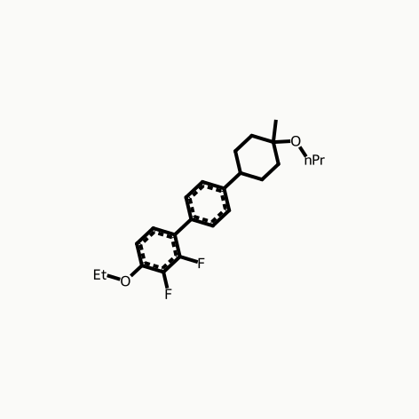 CCCOC1(C)CCC(c2ccc(-c3ccc(OCC)c(F)c3F)cc2)CC1